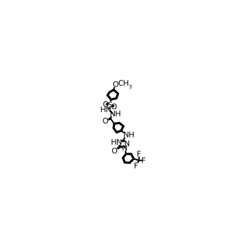 COc1ccc(S(=O)(=O)NNC(=O)c2ccc(Nc3nn(-c4cccc(C(F)(F)F)c4)c(=O)[nH]3)cc2)cc1